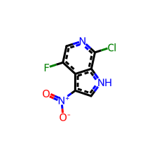 O=[N+]([O-])c1c[nH]c2c(Cl)ncc(F)c12